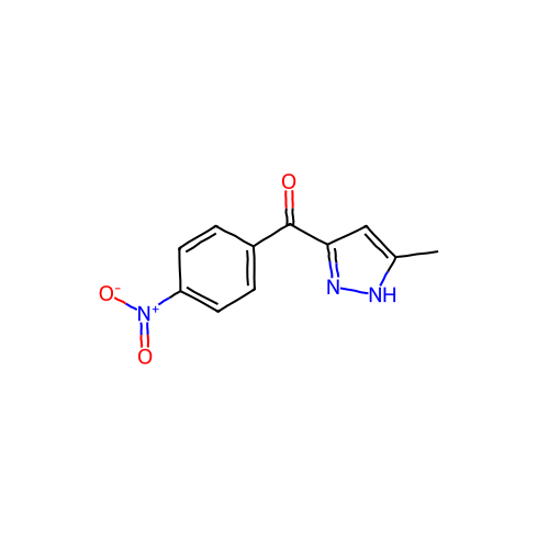 Cc1cc(C(=O)c2ccc([N+](=O)[O-])cc2)n[nH]1